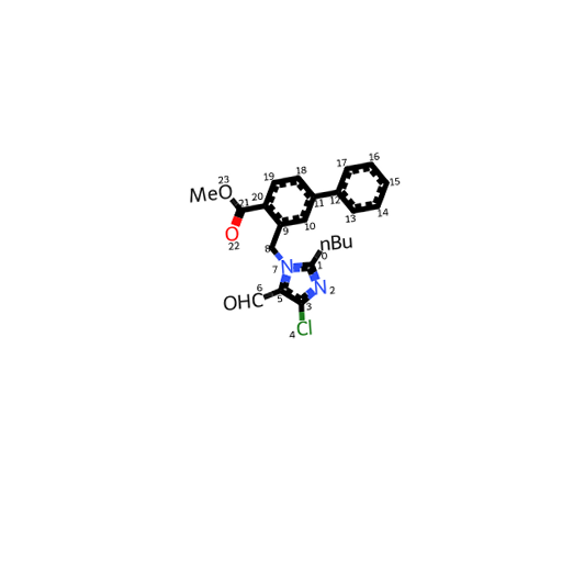 CCCCc1nc(Cl)c(C=O)n1Cc1cc(-c2ccccc2)ccc1C(=O)OC